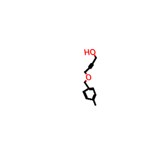 Cc1ccc(COCC#CCO)cc1